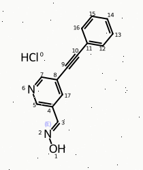 Cl.O/N=C/c1cncc(C#Cc2ccccc2)c1